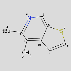 Cc1c(C(C)(C)C)ncc2sccc12